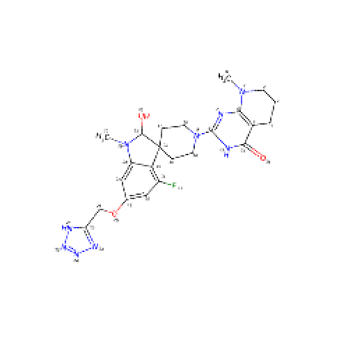 CN1CCCc2c1nc(N1CCC3(CC1)c1c(F)cc(OCc4nnn[nH]4)cc1N(C)C3O)[nH]c2=O